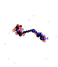 CCOc1cc(C(CS(C)(=O)=O)N2C(=O)c3cccc(NC(=O)CCCCCCCN4CCN(CC(=O)Nc5cccc6c(C7CCC(=O)NC7=O)nn(C)c56)CC4)c3C2=O)ccc1OC